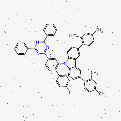 Cc1ccc(-c2ccc3c(c2)c2cc(-c4ccc(C)cc4C)ccc2n3-c2cc(-c3nc(-c4ccccc4)nc(-c4ccccc4)n3)ccc2-c2ccc(F)cc2)c(C)c1